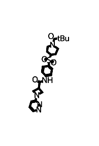 CC(C)(C)C(=O)N1CCC(S(=O)(=O)c2ccc(NC(=O)C3CN(c4cccnn4)C3)cc2)CC1